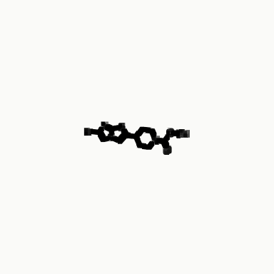 CC(C)(C)OC(=O)N1CCC(c2cn3cc(Br)nc3s2)CC1